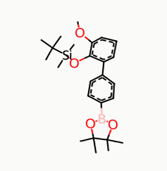 COc1cccc(-c2ccc(B3OC(C)(C)C(C)(C)O3)cc2)c1O[Si](C)(C)C(C)(C)C